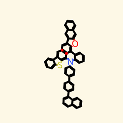 c1ccc(N(c2ccc(-c3ccc(-c4cccc5ccccc45)cc3)cc2)c2cccc3c2sc2ccccc23)c(-c2cccc3c2oc2cc4ccccc4cc23)c1